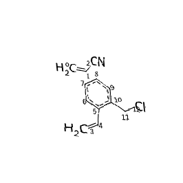 C=CC#N.C=Cc1ccccc1CCl